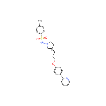 N#Cc1ccc(S(=O)(=O)NN2CC[C@@H](CCCOc3ccc(-c4ccccn4)cc3)C2)cc1